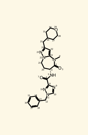 CN1C(=O)[C@H](NC(=O)c2ncn(Cc3ccccc3)n2)CCn2nc(CC3CCOCC3)cc21